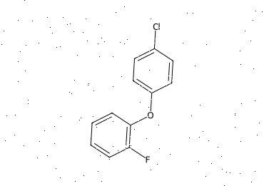 Fc1[c]cccc1Oc1ccc(Cl)cc1